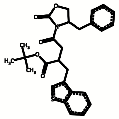 CC(C)(C)OC(=O)C(CC(=O)N1C(=O)OCC1Cc1ccccc1)Cc1csc2ccccc12